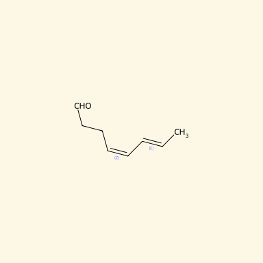 C/C=C/C=C\CCC=O